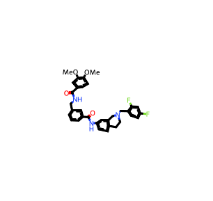 COc1ccc(C(=O)NCc2cccc(C(=O)Nc3ccc4c(c3)CN(Cc3ccc(F)cc3F)CC4)c2)cc1OC